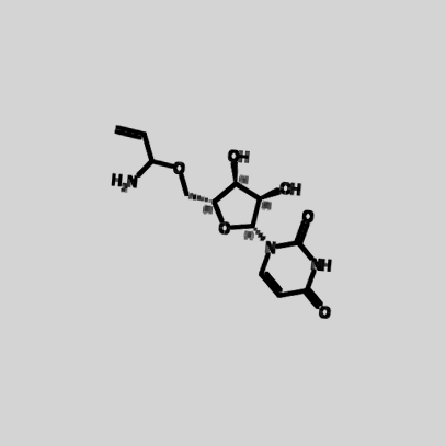 C=CC(N)OC[C@H]1O[C@@H](n2ccc(=O)[nH]c2=O)[C@H](O)[C@@H]1O